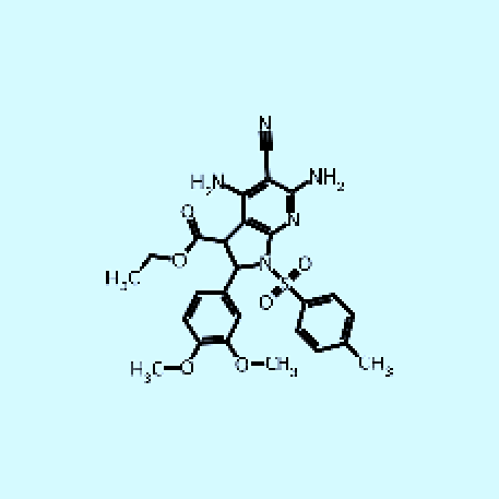 CCOC(=O)C1c2c(nc(N)c(C#N)c2N)N(S(=O)(=O)c2ccc(C)cc2)C1c1ccc(OC)c(OC)c1